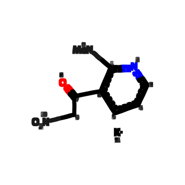 CNc1ncccc1C(=O)C[N+](=O)[O-].[K]